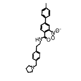 Cc1ccc(-c2ccc(C(=O)NCCc3ccc(CN4CCCC4)cc3)c([N+](=O)[O-])c2)cc1